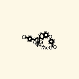 COC(=O)c1ccc(Oc2ccc3c(c2)C[C@@H](N(C[C@H](O)c2ccc(Cl)cc2)C(=O)OC(C)(C)C)CC3)cc1